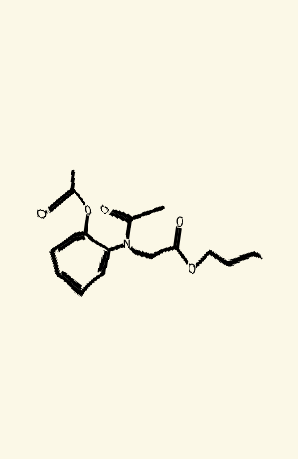 CCCOC(=O)CN(C(C)=O)c1ccccc1OC(C)=O